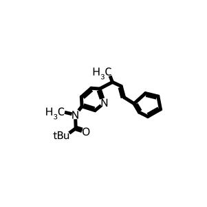 CC(C=Cc1ccccc1)c1ccc(N(C)C(=O)C(C)(C)C)cn1